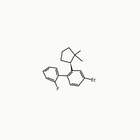 CCc1ccc(-c2ccccc2F)c([C@H]2CCCC2(C)C)c1